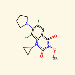 CC(C)(C)On1c(=O)c2cc(F)c(N3CCCC3)c(F)c2n(C2CC2)c1=O